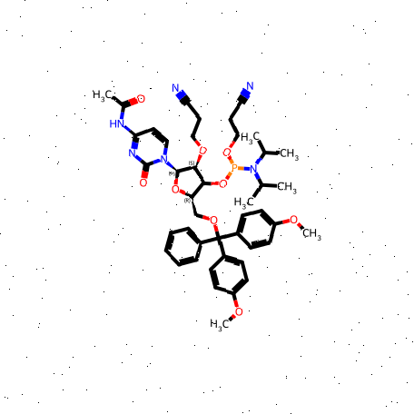 COc1ccc(C(OC[C@H]2O[C@@H](n3ccc(NC(C)=O)nc3=O)[C@@H](OCCC#N)C2OP(OCCC#N)N(C(C)C)C(C)C)(c2ccccc2)c2ccc(OC)cc2)cc1